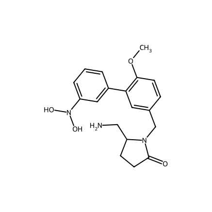 COc1ccc(CN2C(=O)CCC2CN)cc1-c1cccc(N(O)O)c1